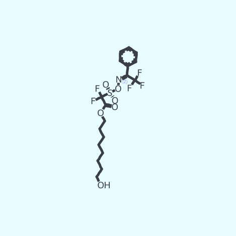 O=C(OCCCCCCCCO)C(F)(F)S(=O)(=O)O/N=C(/c1ccccc1)C(F)(F)F